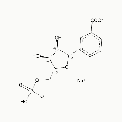 O=C([O-])c1ccc[n+]([C@@H]2O[C@H](COP(=O)([O-])O)[C@@H](O)[C@H]2O)c1.[Na+]